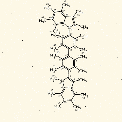 Cc1c(C)c(-c2c(C)c3c(C)c(C)c(C)c(C)c3n2C)c(C)c(C)c1-c1c(C)c(C)c(-n2c(C)c(C)c3c(C)c(C)c(C)c(C)c32)c(C)c1C